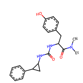 CCN(C#N)C(=O)C(Cc1ccc(O)cc1)NC(=O)NC1CC1c1ccccc1